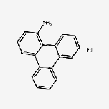 Pc1cccc2c3ccccc3c3ccccc3c12.[Pd]